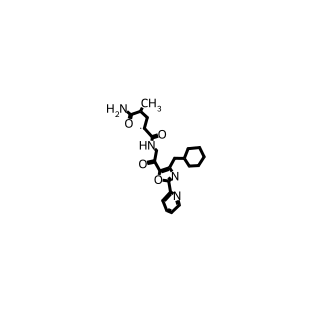 CC(C[CH]C(=O)NCC(=O)c1oc(-c2ccccn2)nc1CC1CCCCC1)C(N)=O